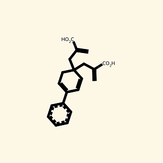 C=C(CC1(CC(=C)C(=O)O)C=CC(c2ccccc2)=CC1)C(=O)O